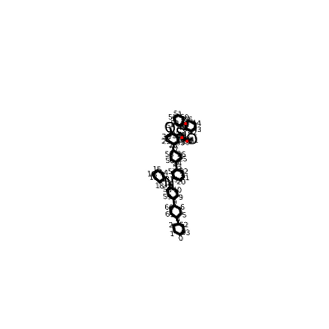 c1ccc(-c2ccc(-c3ccc(N(c4ccccc4)c4cccc(-c5ccc(-c6ccc7c(c6)[Si]6(c8ccccc8Oc8ccccc86)c6ccccc6O7)cc5)c4)cc3)cc2)cc1